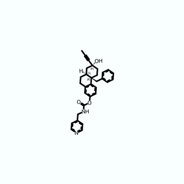 CC#C[C@@]1(O)CC[C@]2(Cc3ccccc3)c3ccc(OC(=O)NCc4ccncc4)cc3CC[C@H]2C1